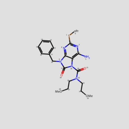 CCCSc1nc(N)c2c(n1)n(Cc1ccccc1)c(=O)n2C(=O)N(CCOC)CCOC